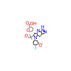 COCC(C)(C)c1c([C@H]2CC[C@](C)(C(=O)O)OC2)c2nc3[nH]ncc3cc2n1-c1ccc(F)c(OC)c1